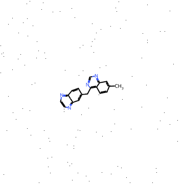 Cc1ccc2c(Cc3ccc4nccnc4c3)ncnc2c1